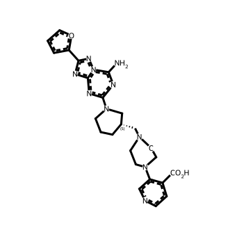 Nc1nc(N2CCC[C@@H](CN3CCN(c4cnccc4C(=O)O)CC3)C2)nc2nc(-c3ccco3)nn12